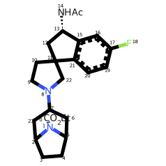 CCOC(=O)N1C2CCC1CC(N1CCC3(C[C@H](NC(C)=O)c4cc(F)ccc43)C1)C2